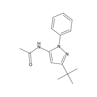 CC(=O)Nc1cc(C(C)(C)C)nn1-c1ccccc1